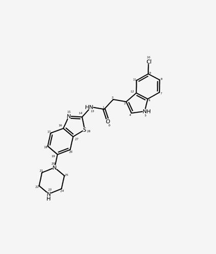 O=C(Cc1c[nH]c2ccc(Cl)cc12)Nc1nc2ccc(N3CCNCC3)cc2s1